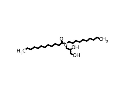 CCCCCCCCCCCC(=O)N(CCCCCCCCCC)CC(O)CO